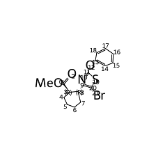 COC(=O)[C@@H]1CCCC[C@H]1c1nc(Oc2ccccc2)sc1Br